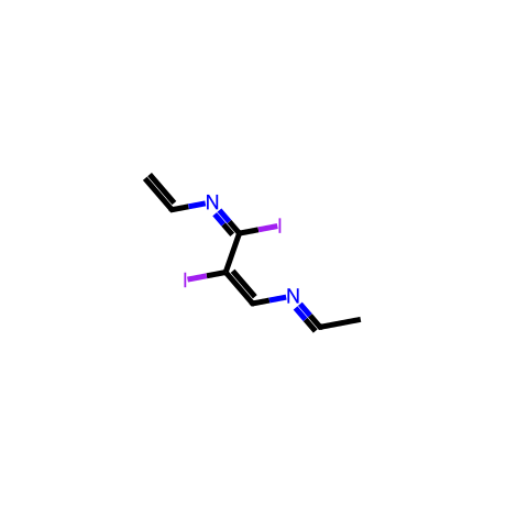 C=C\N=C(I)/C(I)=C\N=C\C